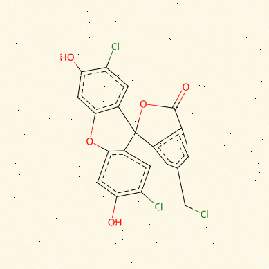 O=C1OC2(c3cc(Cl)c(O)cc3Oc3cc(O)c(Cl)cc32)c2cc(CCl)ccc21